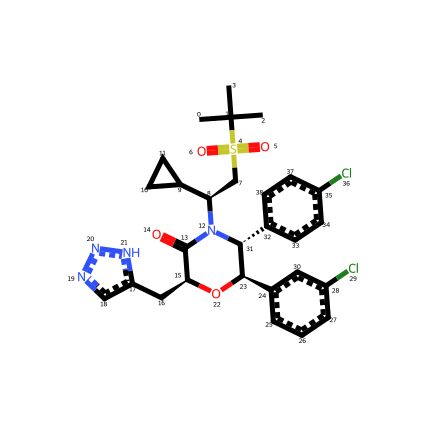 CC(C)(C)S(=O)(=O)C[C@H](C1CC1)N1C(=O)[C@H](Cc2cnn[nH]2)O[C@H](c2cccc(Cl)c2)[C@H]1c1ccc(Cl)cc1